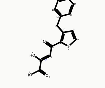 O=C(O)/C(O)=C/C(=O)c1sccc1Cc1ccccc1